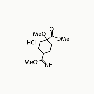 COC(=N)C1CCC(OC)(C(=O)OC)CC1.Cl